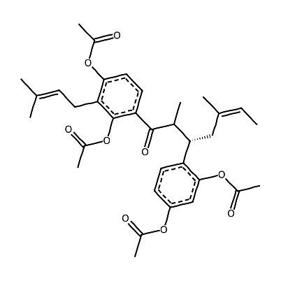 C/C=C(/C)C[C@H](c1ccc(OC(C)=O)cc1OC(C)=O)C(C)C(=O)c1ccc(OC(C)=O)c(CC=C(C)C)c1OC(C)=O